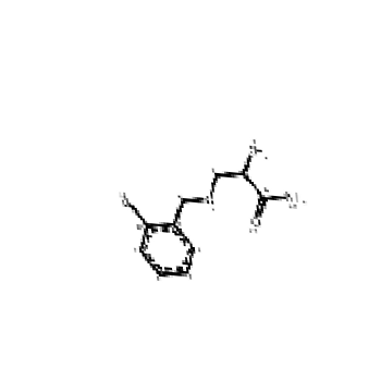 CC(COCc1ccccc1Cl)C(N)=O